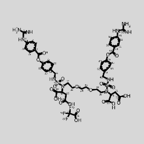 N=C(N)Nc1ccc(C(=O)Oc2ccc(CNS(=O)(=O)N(CCOCCOCCN(C(CC(=O)O)C(=O)O)S(=O)(=O)NCc3ccc(OC(=O)c4ccc(NC(=N)N)cc4)cc3)C(CC(=O)O)C(=O)O)cc2)cc1.O=C(O)C(F)(F)F